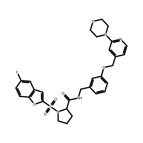 O=C(NCc1cccc(OCc2ccnc(N3CCOCC3)c2)c1)C1CCCN1S(=O)(=O)c1cc2cc(F)ccc2o1